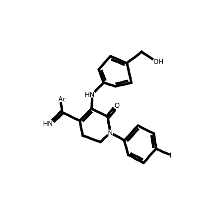 CC(=O)C(=N)C1=C(Nc2ccc(CO)cc2)C(=O)N(c2ccc(I)cc2)CC1